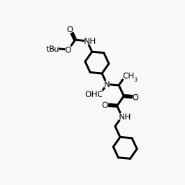 CC(C(=O)C(=O)NCC1CCCCC1)N(C=O)C1CCC(NC(=O)OC(C)(C)C)CC1